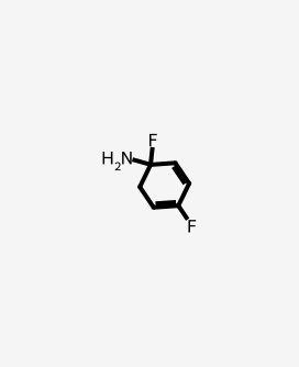 NC1(F)C=CC(F)=CC1